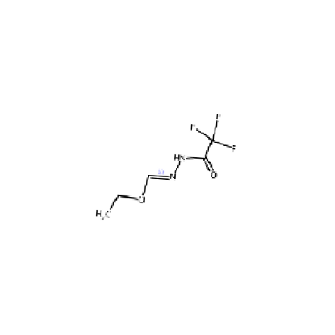 CCO/C=N/NC(=O)C(F)(F)F